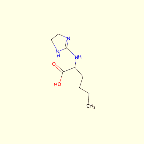 CCCCC(NC1=NCCN1)C(=O)O